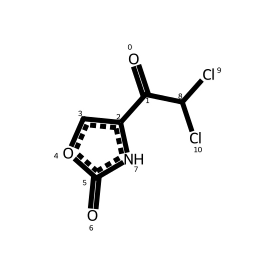 O=C(c1coc(=O)[nH]1)C(Cl)Cl